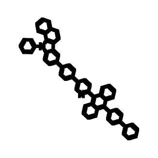 c1ccc(-c2ccc(-c3c4ccccc4c(-c4ccc(-c5ccc(-c6ccc7c(c6)c6ccc8ccccc8c6n7-c6ccccc6)cc5)cn4)c4ccccc34)cc2)cc1